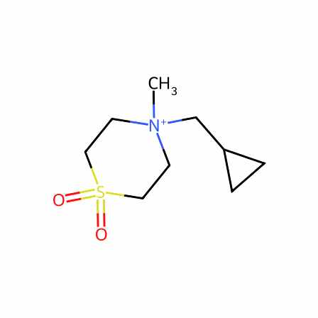 C[N+]1(CC2CC2)CCS(=O)(=O)CC1